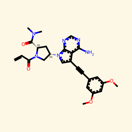 C=CC(=O)N1C[C@@H](n2cc(C#Cc3cc(OC)cc(OC)c3)c3c(N)ncnc32)C[C@H]1C(=O)N(C)C